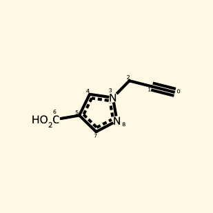 C#CCn1cc(C(=O)O)cn1